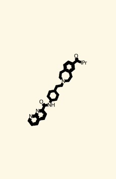 CC(C)C(=O)c1ccc2c(c1)CCN(CCC1CCC(NC(=O)c3ccc4cccnc4n3)CC1)CC2